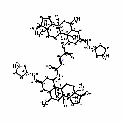 CC1C[C@@H]2[C@@H](CC[C@]3(C)C(=O)CC[C@@H]23)[C@@]2(C)C(OC(=O)/C=C/C(=O)OC3CC(=NO[C@@H]4CCNC4)CC4C(C)C[C@@H]5[C@@H](CC[C@]6(C)C(=O)CC[C@@H]56)[C@@]34C)CC(=NO[C@@H]3CCNC3)CC12